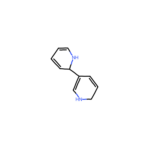 C1=CNC(C2=CNCC=C2)C=C1